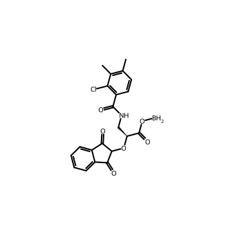 BOC(=O)[C@H](CNC(=O)c1ccc(C)c(C)c1Cl)OC1C(=O)c2ccccc2C1=O